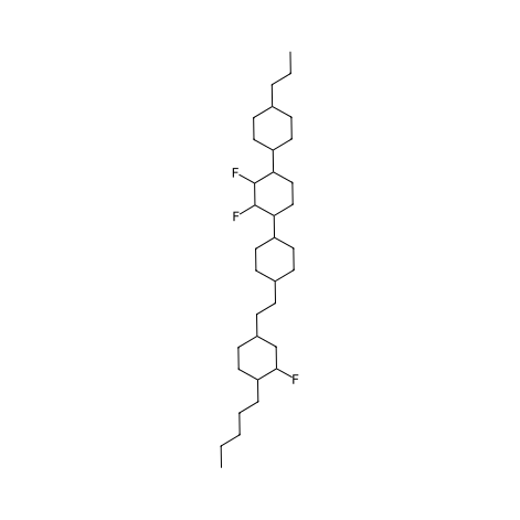 CCCCCC1CCC(CCC2CCC(C3CCC(C4CCC(CCC)CC4)C(F)C3F)CC2)CC1F